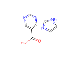 O=C(O)c1cncnc1.c1c[nH]cn1